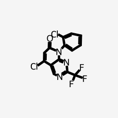 O=c1cc(Cl)c2cnc(C(F)(F)F)nc2n1-c1ccccc1Cl